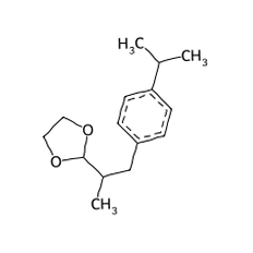 CC(C)c1ccc(CC(C)C2OCCO2)cc1